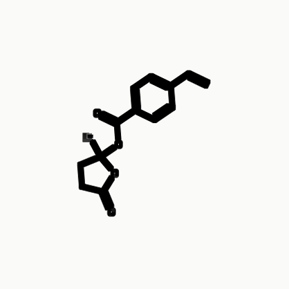 C=Cc1ccc(C(=O)OC2(CC)CCC(=O)O2)cc1